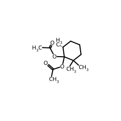 CC(=O)OC1(OC(C)=O)[C@H](C)CCCC1(C)C